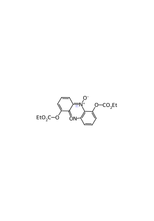 C=C1C(OC(=O)OCC)=CC=C/C1=[N+](\[O-])c1c(N=O)cccc1OC(=O)OCC